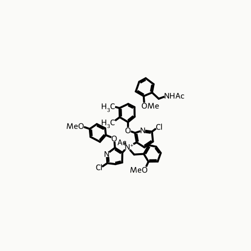 COc1ccc(Oc2nc(Cl)ccc2[N+](Cc2ccccc2OC)(C(C)=O)c2ccc(Cl)nc2Oc2cccc(C)c2C)cc1.COc1ccccc1CNC(C)=O